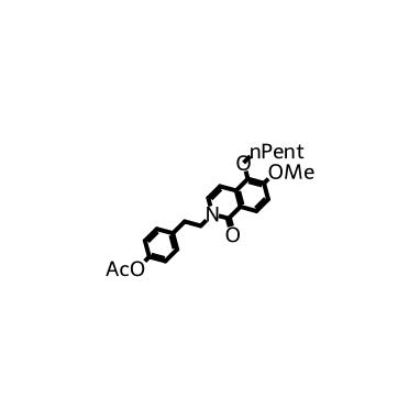 CCCCCOc1c(OC)ccc2c(=O)n(CCc3ccc(OC(C)=O)cc3)ccc12